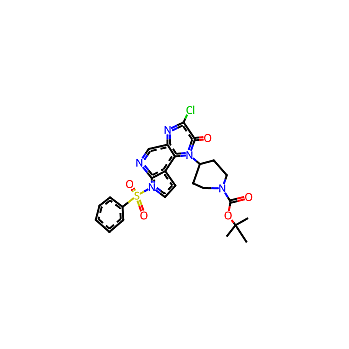 CC(C)(C)OC(=O)N1CCC(n2c(=O)c(Cl)nc3cnc4c(ccn4S(=O)(=O)c4ccccc4)c32)CC1